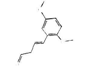 COc1ccc(OC)c(C=CCC=O)c1